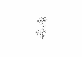 CN(c1ncccc1O)[C@H]1CC[C@H](CNC(=O)c2cc(C(F)(F)F)cc(C(F)(F)F)c2)CC1